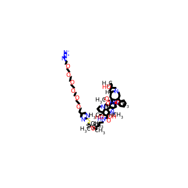 CC[C@]1(O)C[C@H]2CN(CCc3c([nH]c4ccccc34)[C@@](C(=O)OC)(c3cc4c(cc3OC)N(C)[C@H]3[C@@](O)(C(=O)NCCC[Si](C)(C)O[Si](C)(C)CSc5ncc(CCOCCOCCOCCOCCOCCOCCN=[N+]=[N-])cn5)[C@H](O)[C@]5(CC)C=CCN6CC[C@]43[C@@H]65)C2)C1